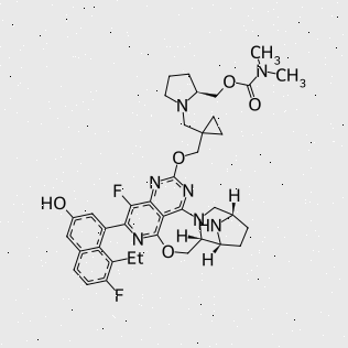 CCc1c(F)ccc2cc(O)cc(-c3nc4c5c(nc(OCC6(CN7CCC[C@H]7COC(=O)N(C)C)CC6)nc5c3F)N3C[C@@H]5CC[C@@H](N5)[C@@H]3CO4)c12